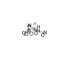 CN(C)C(=O)CCNC(=O)N1C[C@@H](CC(C)(C)C)[C@@](C#N)(c2ccc(Cl)cc2F)[C@H]1c1cccc(Cl)c1F